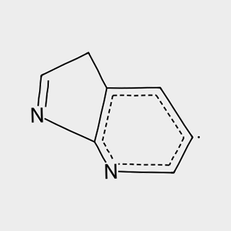 [c]1cnc2c(c1)CC=N2